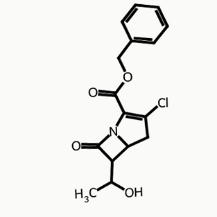 CC(O)C1C(=O)N2C(C(=O)OCc3ccccc3)=C(Cl)CC12